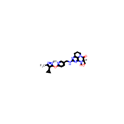 CCn1nc(C(F)(F)F)c(C2CC2)c1Oc1ccc(CNc2nc3c4c(n2)N(C)[C@@](C)(CO)C(=O)N4CCC3)cn1